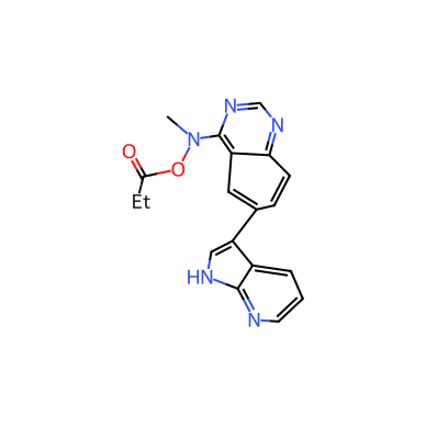 CCC(=O)ON(C)c1ncnc2ccc(-c3c[nH]c4ncccc34)cc12